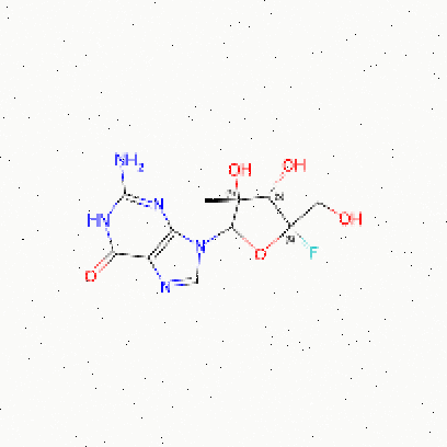 C[C@]1(O)C(n2cnc3c(=O)[nH]c(N)nc32)O[C@](F)(CO)[C@H]1O